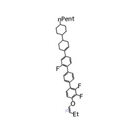 CC/C=C\Oc1ccc(-c2ccc(-c3ccc(C4=CCC(C5CCC(CCCCC)CC5)CC4)cc3F)cc2)c(F)c1F